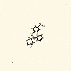 CN1CCOC([C@@H](Oc2ccc(CI)cc2)c2ccccc2)C1